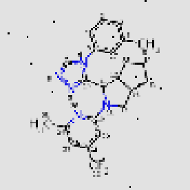 Cc1cccc(-n2cnnc2C2C3CCCC3CN2c2cc(C(F)(F)F)cc(C)n2)c1